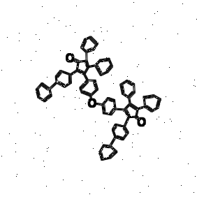 O=C1C(c2ccccc2)=C(c2ccccc2)C(c2ccc(Oc3ccc(C4=C(c5ccc(-c6ccccc6)cc5)C(=O)C(c5ccccc5)=C4c4ccccc4)cc3)cc2)=C1c1ccc(-c2ccccc2)cc1